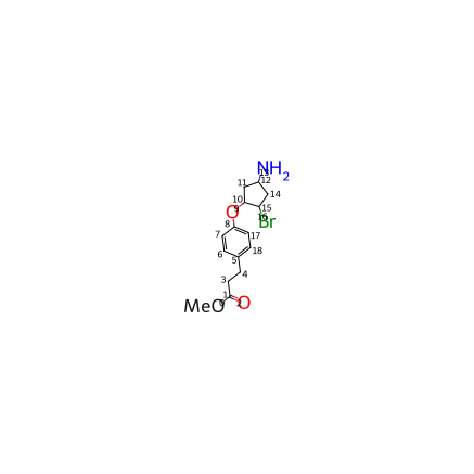 COC(=O)CCc1ccc(OC2CC(N)CC2Br)cc1